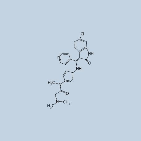 CN(C)CC(=O)N(C)c1ccc(N/C(=C2\C(=O)Nc3cc(Cl)ccc32)c2ccncc2)cc1